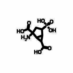 NC1(C(=O)O)CC(P(=O)(O)O)C2C(C(=O)O)C21